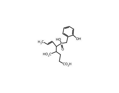 CC=CC(C(CCC(=O)O)C(=O)O)P(=O)(O)Cc1ccccc1O